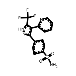 NS(=O)(=O)c1ccc(-c2n[nH]c(C(F)(F)F)c2-c2ccccn2)cc1